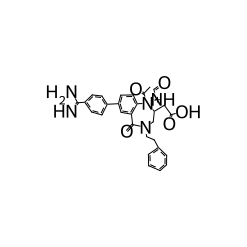 CC(=O)[N+]1(NC=O)c2ccc(-c3ccc(C(=N)N)cc3)cc2C(=O)N(CCc2ccccc2)CC1CC(=O)O